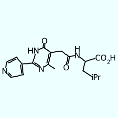 Cc1nc(-c2ccncc2)[nH]c(=O)c1CC(=O)NC(CC(C)C)C(=O)O